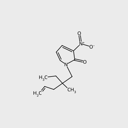 C=CCC(C)(CC)Cn1cccc([N+](=O)[O-])c1=O